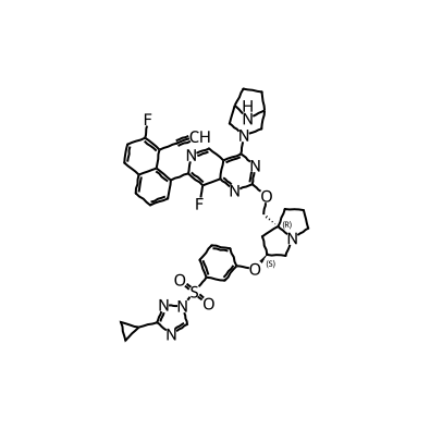 C#Cc1c(F)ccc2cccc(-c3ncc4c(N5CC6CCC(C5)N6)nc(OC[C@]56CCCN5C[C@@H](Oc5cccc(S(=O)(=O)n7cnc(C8CC8)n7)c5)C6)nc4c3F)c12